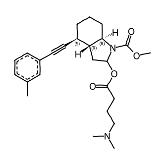 COC(=O)N1C(OC(=O)CCCN(C)C)C[C@H]2[C@H]1CCC[C@@H]2C#Cc1cccc(C)c1